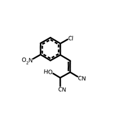 N#CC(=Cc1cc([N+](=O)[O-])ccc1Cl)C(O)C#N